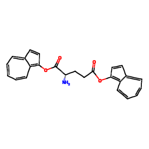 N[C@@H](CCC(=O)Oc1ccc2cccccc1-2)C(=O)Oc1ccc2cccccc1-2